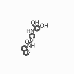 O=C(CN1CCC(Nc2ccc(O)cc2CO)CC1)Nc1cccc2cccnc12